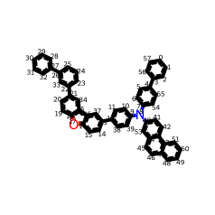 c1ccc(-c2ccc(N(c3ccc(-c4ccc5oc6ccc(-c7cccc(-c8ccccc8)c7)cc6c5c4)cc3)c3ccc4c(ccc5ccccc54)c3)cc2)cc1